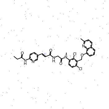 CCC(=O)Nc1ccc(/C=C/C(=O)NCC(=O)N(C)c2ccc(Cl)c(COc3cccc4ccc(C)nc34)c2Cl)cn1